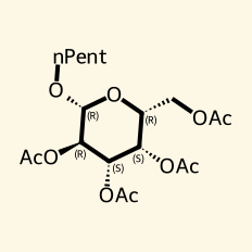 CCCCCO[C@@H]1O[C@H](COC(C)=O)[C@H](OC(C)=O)[C@H](OC(C)=O)[C@H]1OC(C)=O